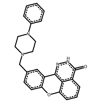 O=c1[nH]nc2c3c(cccc13)Oc1ccc(CN3CCN(c4ccccc4)CC3)cc1-2